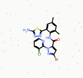 Cc1cc(C)c(NC(=O)c2cc(Br)nn2-c2ncccc2Cl)c(-c2nnc(N)s2)c1